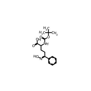 CC(C)(C)OC(=O)NC(CCC(=NO)c1ccccc1)C(=O)O